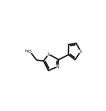 OCc1cnc(-c2ccsc2)s1